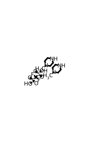 CN1CCNCC1.CN1CCNCC1.O=S(=O)(O)C(F)(F)S(=O)(=O)O